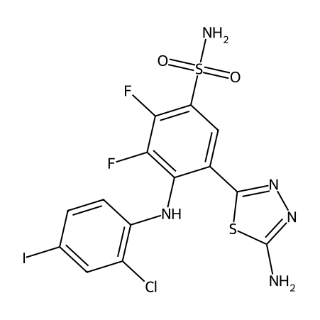 Nc1nnc(-c2cc(S(N)(=O)=O)c(F)c(F)c2Nc2ccc(I)cc2Cl)s1